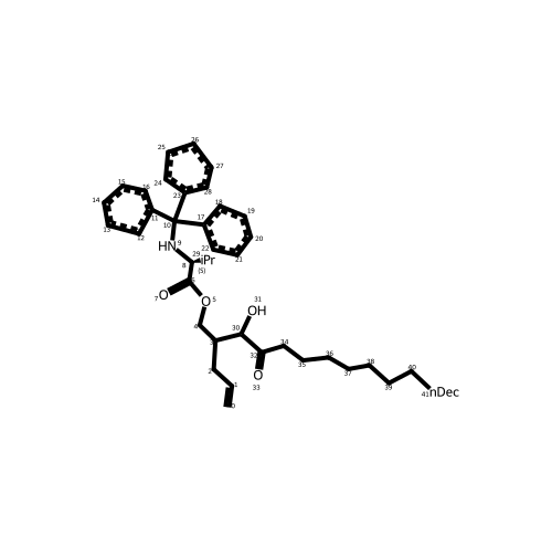 C=CCC(COC(=O)[C@@H](NC(c1ccccc1)(c1ccccc1)c1ccccc1)C(C)C)C(O)C(=O)CCCCCCCCCCCCCCCCC